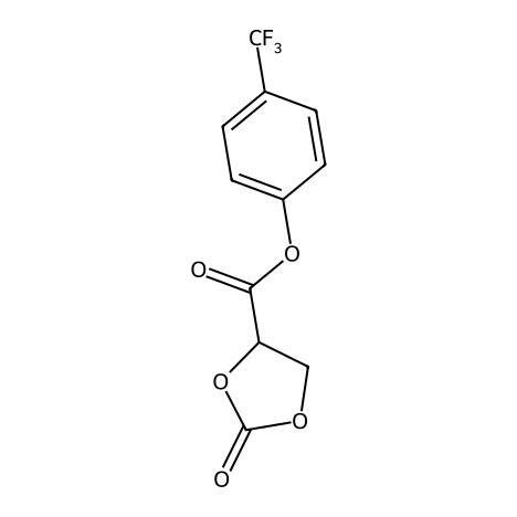 O=C1OCC(C(=O)Oc2ccc(C(F)(F)F)cc2)O1